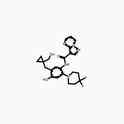 O=C(Nc1cc(CC2(CO)CC2)c(O)cc1N1CCC(F)(F)CC1)c1cnn2cccnc12